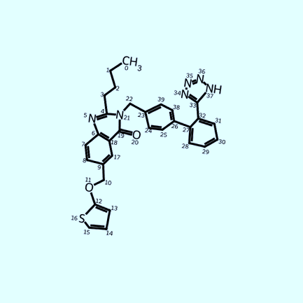 CCCCc1nc2ccc(COc3cccs3)cc2c(=O)n1Cc1ccc(-c2ccccc2-c2nnn[nH]2)cc1